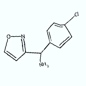 NC(c1ccc(Cl)cc1)c1ccon1